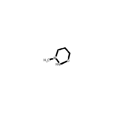 [CH3][Al]1[CH2]CC[O][AlH]1